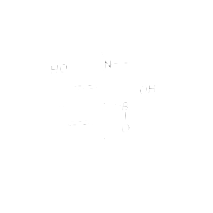 CN(C)c1c(O)ccc2c1B(O)OC2